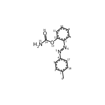 Cc1ccc(N=Nc2ccccc2OC(N)=O)cc1